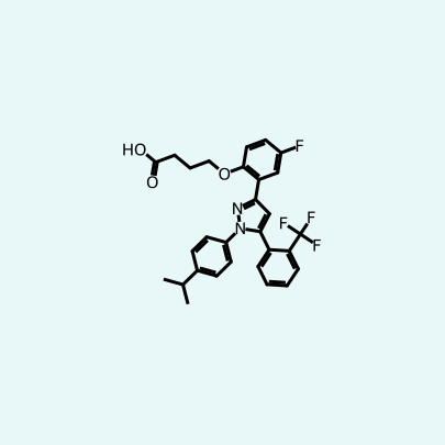 CC(C)c1ccc(-n2nc(-c3cc(F)ccc3OCCCC(=O)O)cc2-c2ccccc2C(F)(F)F)cc1